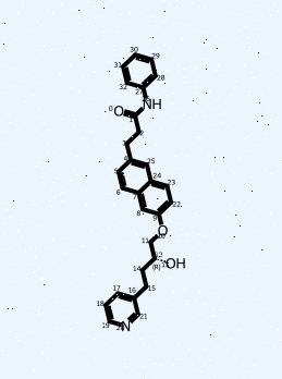 O=C(CCc1ccc2cc(OC[C@H](O)CCc3cccnc3)ccc2c1)Nc1ccccc1